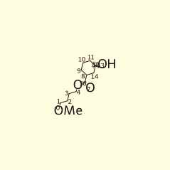 COCCCCOC(=O)C1CCC[C@@H](O)C1